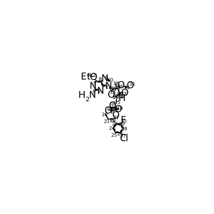 CCOc1nc(N)nc2c1ncn2[C@@H]1O[C@H](CO[P@@]2(=O)OCC[C@@H](c3ccc(Cl)cc3F)O2)[C@H]2OC(=O)O[C@]21C